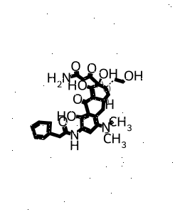 CN(C)c1cc(NC(=O)Cc2ccccc2)c(O)c2c1C[C@H]1C[C@@H](CCO)[C@@](O)(C(=O)CC(N)=O)C(O)=C1C2=O